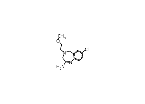 COCCN1CC(N)=Nc2ccc(Cl)cc2C1